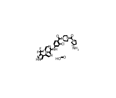 N[C@H]1CCN(C(=O)N2CCN(C(=O)c3ccc(Nc4nccn5c(-c6c[nH]nc6C(F)(F)F)cnc45)cc3Cl)CC2)C1.O=CO